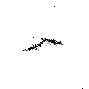 COC(=O)CCC(=O)OC1CC(C)(C)C(/C=C/C(C)=C/C=CC(C)=C/C=C/C=C(C)/C=C/C=C(C)/C=C/C2=C(C)C(=O)C(OC(=O)CCC(=O)OC)CC2(C)C)=C(C)C1=O